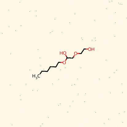 CCCCCCOC(O)COCCO